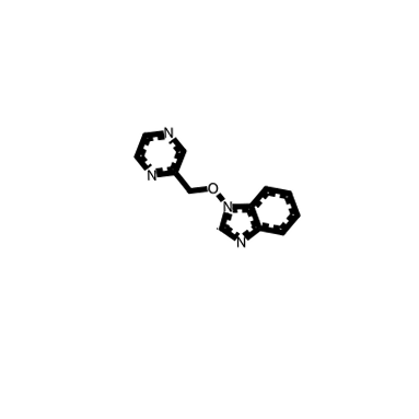 [c]1nc2ccccc2n1OCc1cnccn1